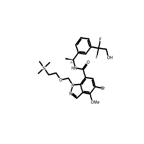 COc1c(Br)cc(C(=O)N[C@@H](C)c2cccc(C(F)(F)CO)c2)c2c1cnn2COCC[Si](C)(C)C